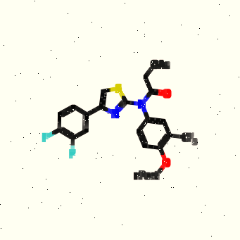 CCCCCOc1ccc(N(C(=O)COC(C)=O)c2nc(-c3ccc(F)c(F)c3)cs2)cc1C(F)(F)F